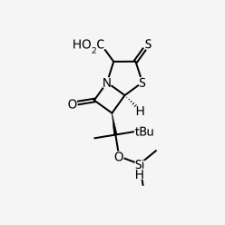 C[SiH](C)OC(C)([C@H]1C(=O)N2C(C(=O)O)C(=S)S[C@@H]12)C(C)(C)C